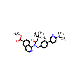 COC(=O)c1ccc2c(N(Cc3ccc(-c4ccc(N(C)C)nc4)cc3)C(=O)CC(C)(C)C)nccc2c1